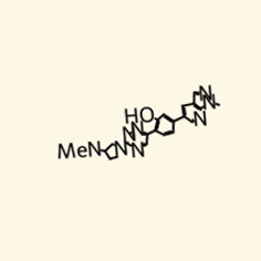 CNC1CCN(c2ncc(-c3ccc(-c4cnc5c(cnn5C)c4)cc3O)nn2)C1